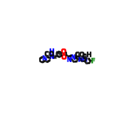 Cc1cc(F)ccc1CNc1ccc2nc(C3COc4ccc(CNC5=C(C(=O)O)N6C=CCC=C6C=C5)cc4O3)cn2c1C(=O)O